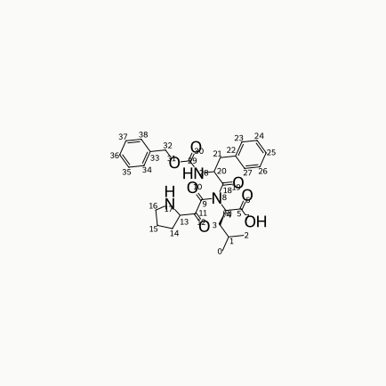 CC(C)C[C@H](C(=O)O)N(C(=O)C(=O)C1CCCN1)C(=O)C(Cc1ccccc1)NC(=O)OCc1ccccc1